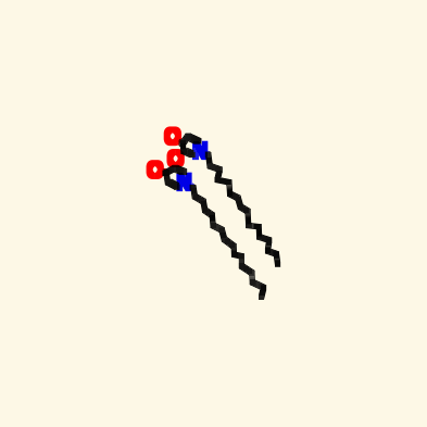 CCCCCCCCCCCCCCCCn1ccc(=O)c(Oc2cn(CCCCCCCCCCCCCCCC)ccc2=O)c1